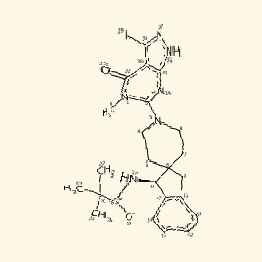 Cn1c(N2CCC3(CC2)Cc2ccccc2[C@H]3N[S+]([O-])C(C)(C)C)nc2[nH]nc(I)c2c1=O